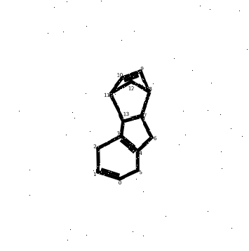 C1=CCC2=C(C1)CC1C3C=CC(C3)C21